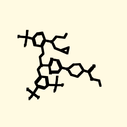 CCCN(CC1CC1)c1ccc(C(F)(F)F)cc1CCN(Cc1cc(C(F)(F)F)cc(C(F)(F)F)c1)c1ncc(N2CCC(C(=O)OCC)CC2)cn1